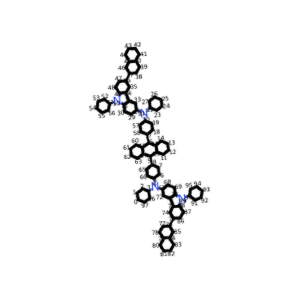 c1ccc(N(c2ccc(-c3c4ccccc4c(-c4ccc(N(c5ccccc5)c5ccc6c(c5)c5cc(-c7ccc8ccccc8c7)ccc5n6-c5ccccc5)cc4)c4ccccc34)cc2)c2ccc3c(c2)c2cc(-c4ccc5ccccc5c4)ccc2n3-c2ccccc2)cc1